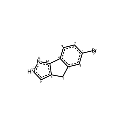 Brc1ccc2c(c1)Cc1[c][nH]nc1-2